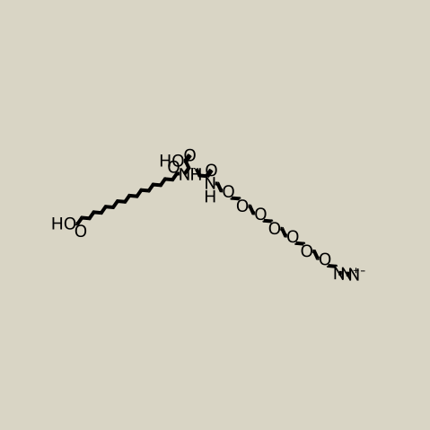 [N-]=[N+]=NCCOCCOCCOCCOCCOCCOCCOCCNC(=O)CC[C@H](NC(=O)CCCCCCCCCCCCCCCCC(=O)O)C(=O)O